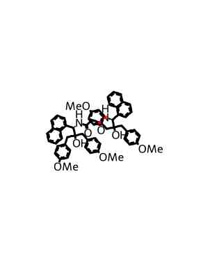 COc1ccc(CC(O)(Cc2ccc(OC)cc2)[C@@H](NC(=O)CC(=O)N[C@@H](c2cccc3ccccc23)C(O)(Cc2ccc(OC)cc2)Cc2ccc(OC)cc2)c2cccc3ccccc23)cc1